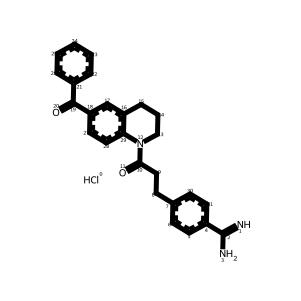 Cl.N=C(N)c1ccc(CCC(=O)N2CCCc3cc(C(=O)c4ccccc4)ccc32)cc1